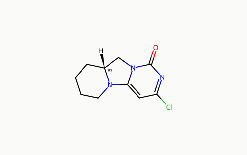 O=c1nc(Cl)cc2n1C[C@H]1CCCCN21